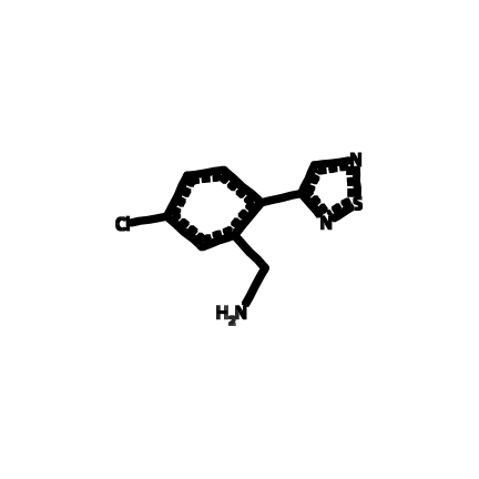 NCc1cc(Cl)ccc1-c1cnsn1